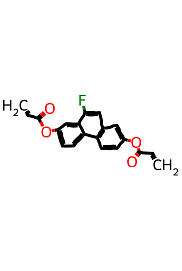 C=CC(=O)Oc1ccc2c(c1)cc(F)c1cc(OC(=O)C=C)ccc12